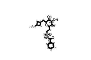 CCCC1CC(CC2OC(CCS(=O)(=O)NC(=O)c3ccccc3)C(F)[C@H](O)[C@@H]2O)C1